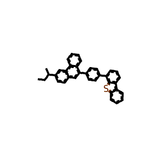 CCC(C)c1ccc2cc(-c3ccc(-c4cccc5c4sc4ccccc45)cc3)c3ccccc3c2c1